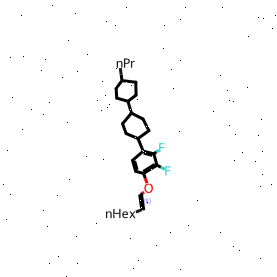 CCCCCC/C=C/Oc1ccc(C2CCC(C3CCC(CCC)CC3)CC2)c(F)c1F